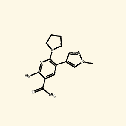 CCC(C)c1nc(N2CCCC2)c(-c2cnn(C)c2)cc1C(N)=O